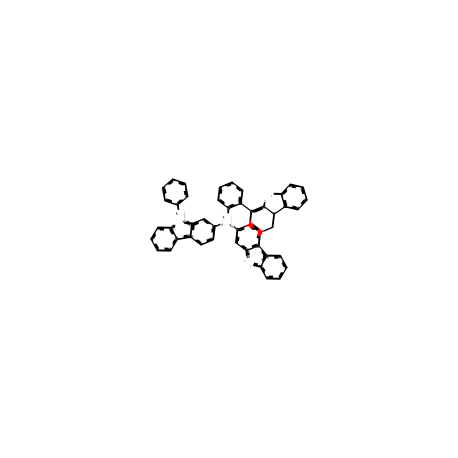 C1=CC(c2ccccc2N(c2ccc3c(c2)sc2ccccc23)c2ccc3c4ccccc4n(-c4ccccc4)c3c2)=C2Sc3ccccc3C2C1